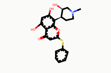 CN1CC[C@@H](c2c(O)cc(O)c3c(=O)cc(Sc4ccccc4)oc23)[C@@H](O)C1